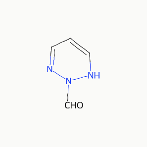 O=CN1N=CC=CN1